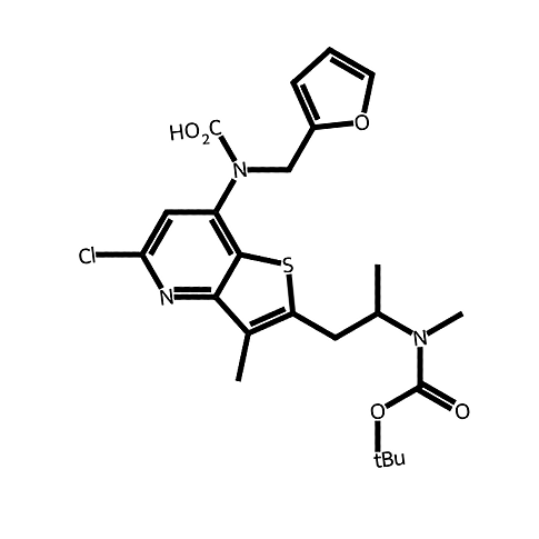 Cc1c(CC(C)N(C)C(=O)OC(C)(C)C)sc2c(N(Cc3ccco3)C(=O)O)cc(Cl)nc12